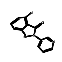 O=c1c2c(Cl)cccc2[se]n1-c1cccnc1